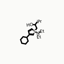 CCN(CC)S1(CC(O)C(C)C)C=CC(C2CCCCC2)=C1